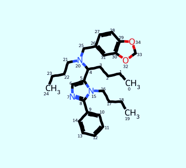 CCCCC(c1cnc(-c2ccccc2)n1CCCC)N(CCCC)Cc1ccc2c(c1)OCO2